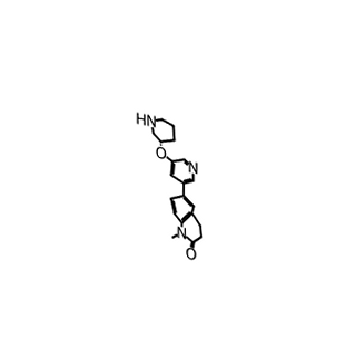 CN1C(=O)CCc2cc(-c3cncc(O[C@H]4CCCNC4)c3)ccc21